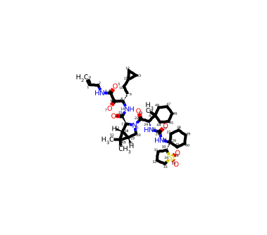 C=CCNC(=O)C(=O)[C@H](CCC1CC1)NC(=O)[C@@H]1[C@@H]2[C@H](CN1C(=O)[C@@H](NC(=O)NC1([C@H]3CCCS3(=O)=O)CCCCC1)C1(C)CCCCC1)C2(C)C